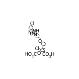 O=C(O)COc1c(C(=O)O)sc(-c2cccc(OCC3CCN(C(=O)Nc4cc(Cl)ccc4[N+](=O)[O-])CC3)c2)c1Cl